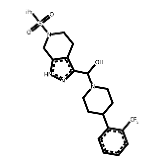 CC(C)S(=O)(=O)N1CCc2c(C(O)N3CCC(c4ccccc4C(F)(F)F)CC3)n[nH]c2C1